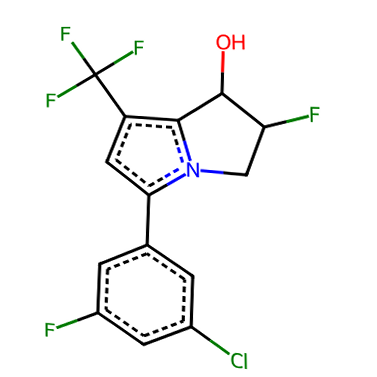 OC1c2c(C(F)(F)F)cc(-c3cc(F)cc(Cl)c3)n2CC1F